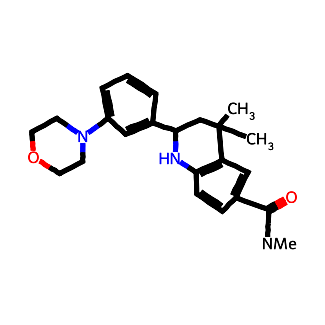 CNC(=O)c1ccc2c(c1)C(C)(C)CC(c1cccc(N3CCOCC3)c1)N2